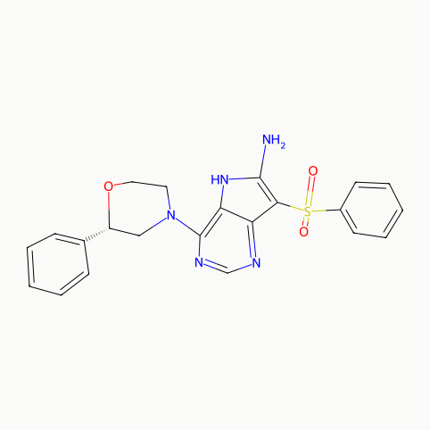 Nc1[nH]c2c(N3CCO[C@@H](c4ccccc4)C3)ncnc2c1S(=O)(=O)c1ccccc1